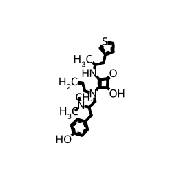 C=CCN(CC(Cc1ccc(O)cc1)N(C)C)C1=C(NC(C)Cc2ccsc2)C(=O)C1O